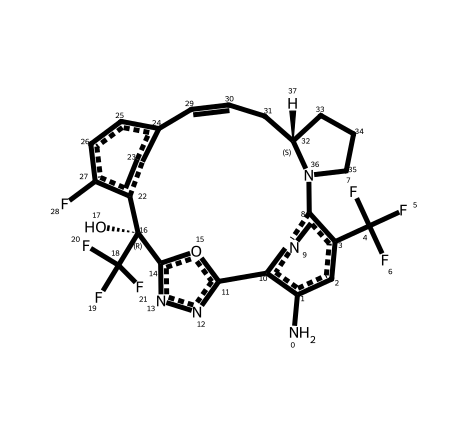 Nc1cc(C(F)(F)F)c2nc1-c1nnc(o1)[C@@](O)(C(F)(F)F)c1cc(ccc1F)C=CC[C@@H]1CCCN21